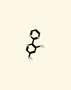 Cc1cnc(-c2ncccn2)c(C)c1